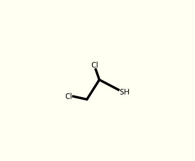 SC(Cl)CCl